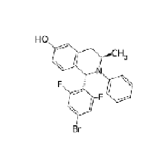 C[C@@H]1Cc2cc(O)ccc2[C@@H](c2c(F)cc(Br)cc2F)N1c1ccccc1